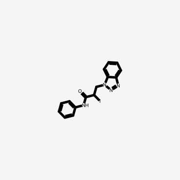 O=C(Nc1ccccc1)C(I)Cn1nnc2ccccc21